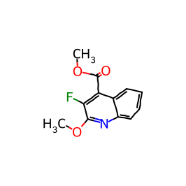 COC(=O)c1c(F)c(OC)nc2ccccc12